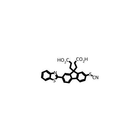 N#CSc1ccc2c(c1)C(CCC(=O)O)(CCC(=O)O)c1cc(-c3nc4ccccc4s3)ccc1-2